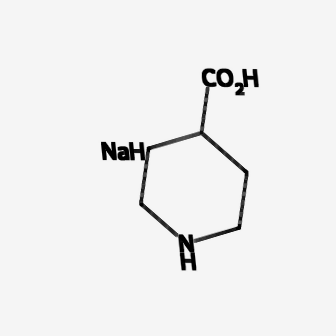 O=C(O)C1CCNCC1.[NaH]